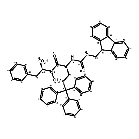 CN(C(=O)[C@H](CSC(c1ccccc1)(c1ccccc1)c1ccccc1)NC(=O)OCC1c2ccccc2-c2ccccc21)[C@@H](Cc1ccccc1)C(=O)O